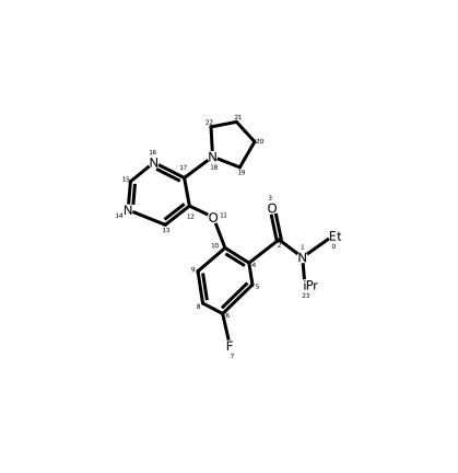 CCN(C(=O)c1cc(F)ccc1Oc1cncnc1N1CCCC1)C(C)C